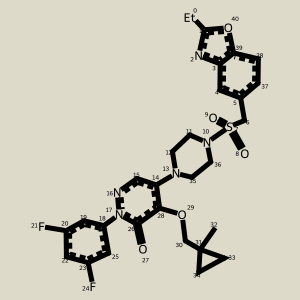 CCc1nc2cc(CS(=O)(=O)N3CCN(c4cnn(-c5cc(F)cc(F)c5)c(=O)c4OCC4(C)CC4)CC3)ccc2o1